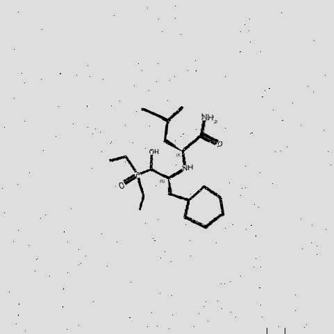 CCP(=O)(CC)C(O)[C@H](CC1CCCCC1)N[C@@H](CC(C)C)C(N)=O